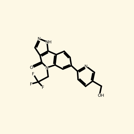 O=c1c2cn[nH]c2c2ccc(-c3ccc(CO)cn3)cc2n1CC(F)(F)F